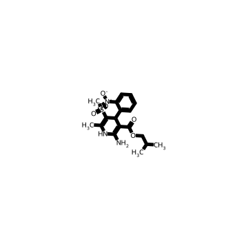 CC1=C(S(C)(=O)=O)C(c2ccccc2[N+](=O)[O-])C(C(=O)OCC(C)C)=C(N)N1